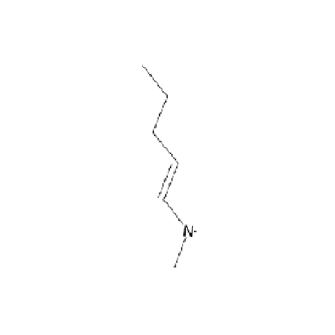 CCCC=C[N]C